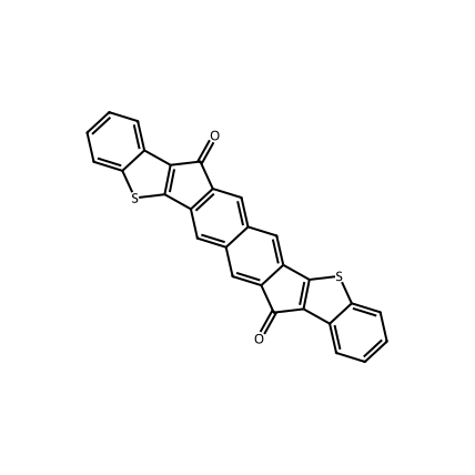 O=c1c2cc3cc4c(cc3cc2c2sc3ccccc3c12)c(=O)c1c2ccccc2sc41